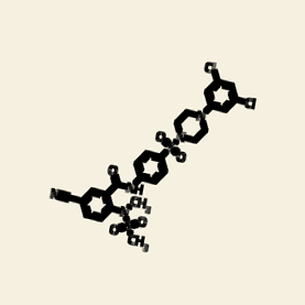 CN(c1ccc(C#N)cc1C(=O)Nc1ccc(S(=O)(=O)N2CCN(c3cc(Cl)cc(Cl)c3)CC2)cc1)S(C)(=O)=O